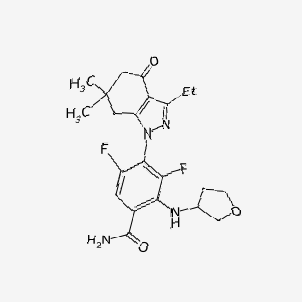 CCc1nn(-c2c(F)cc(C(N)=O)c(NC3CCOC3)c2F)c2c1C(=O)CC(C)(C)C2